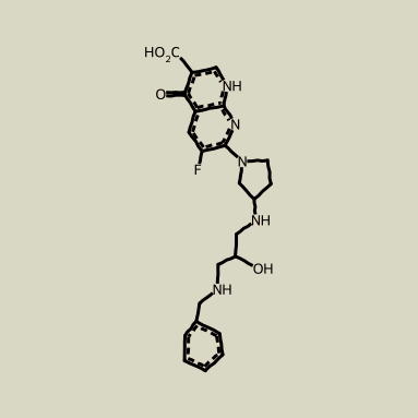 O=C(O)c1c[nH]c2nc(N3CCC(NCC(O)CNCc4ccccc4)C3)c(F)cc2c1=O